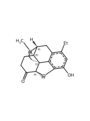 CCc1cc(O)c2c3c1C[C@@H]1[C@@H]4CCC(=O)[C@H](O2)[C@]34CCN1C